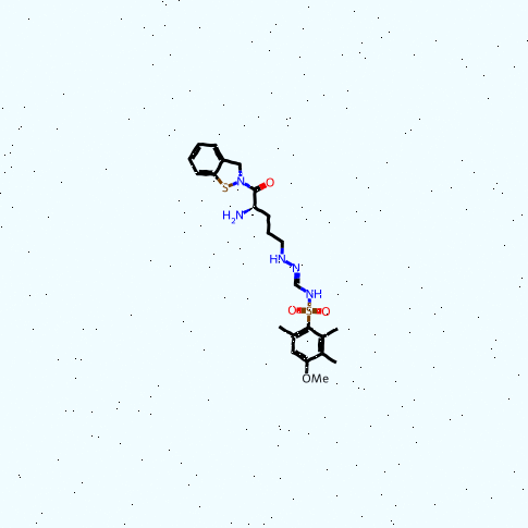 COc1cc(C)c(S(=O)(=O)NC=NNCCC[C@@H](N)C(=O)N2Cc3ccccc3S2)c(C)c1C